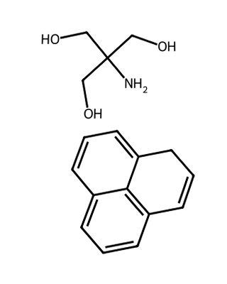 C1=Cc2cccc3cccc(c23)C1.NC(CO)(CO)CO